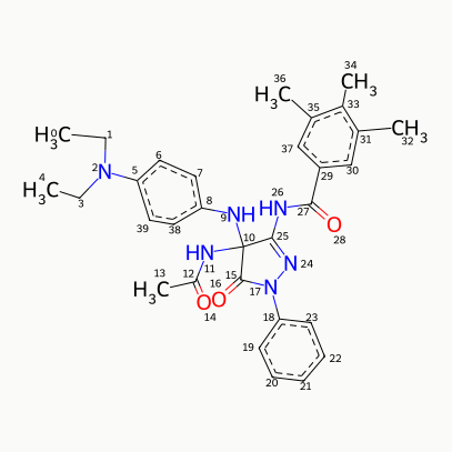 CCN(CC)c1ccc(NC2(NC(C)=O)C(=O)N(c3ccccc3)N=C2NC(=O)c2cc(C)c(C)c(C)c2)cc1